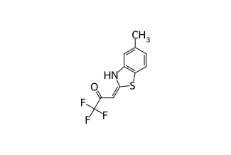 Cc1ccc2c(c1)NC(=CC(=O)C(F)(F)F)S2